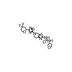 O=C(Nc1nc2c(s1)CN(c1nc(C3CC(F)(F)CCO3)no1)CC2)N[C@@H]1CCOC1